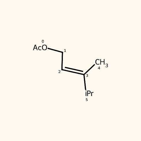 CC(=O)OCC=C(C)C(C)C